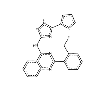 FCc1ccccc1-c1nc(Nc2n[nH]c(-c3cccs3)n2)c2ccccc2n1